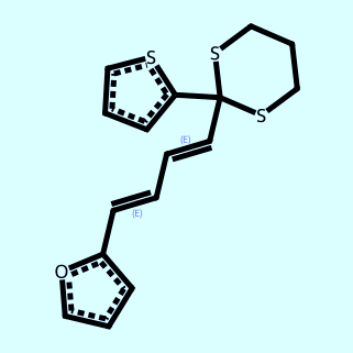 C(/C=C/C1(c2cccs2)SCCCS1)=C\c1ccco1